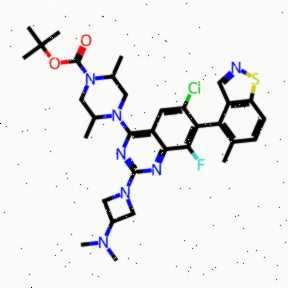 Cc1ccc2sncc2c1-c1c(Cl)cc2c(N3CC(C)N(C(=O)OC(C)(C)C)CC3C)nc(N3CC(N(C)C)C3)nc2c1F